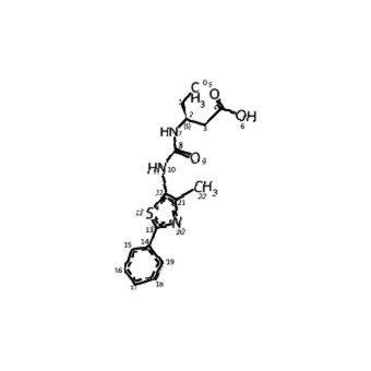 CC[C@@H](CC(=O)O)NC(=O)Nc1sc(-c2ccccc2)nc1C